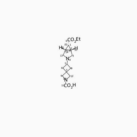 CCOC(=O)[C@@H]1[C@@H]2CN(C3CC4(C3)CN(C(=O)O)C4)C[C@@H]21